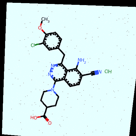 COc1ccc(Cc2nnc(N3CCC(C(=O)O)CC3)c3ccc(C#N)c(N)c23)cc1Cl.Cl